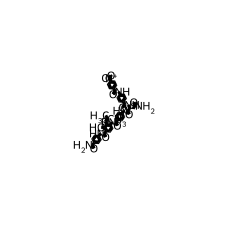 CC(C)Oc1c(NC(=O)c2ccc(NC(=O)[C@H](CC(N)=O)NC(=O)c3ccc(NC(=O)c4ccc([N+](=O)[O-])cc4)cc3)cc2)ccc(C(=O)Nc2ccc(C(N)=O)cc2)c1O